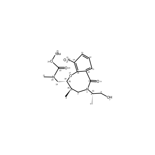 C[C@@H]1CN([C@@H](C)CO)C(=O)c2cccc([N+](=O)[O-])c2O[C@H]1CN(C)C(=O)OC(C)(C)C